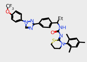 CCC(NC(=O)/N=C1\SCCCN1c1c(C)cc(C)cc1C)c1ccc(-c2ncn(-c3ccc(OC(F)(F)F)cc3)n2)cc1